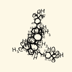 C=C(C)[C@@H]1CC[C@]2(NCCN3CCC(C(=O)O)(C(=O)O)CC3)CC[C@]3(C)[C@H](CC[C@@H]4[C@@]5(C)CC=C(C6=CCC(CF)(C(=O)O)CC6)C(C)(C)[C@@H]5CC[C@]43C)[C@@H]12